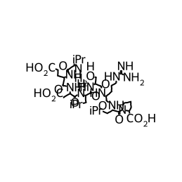 CC(C)CC(NC(=O)C(CC(=O)O)NC(=O)C(CCC(=O)O)NC(=O)C(N)C(C)C)C(=O)NC(CO)C(=O)NC(CCCNC(=N)N)C(=O)NC(CC(C)C)C(=O)N1CCCC1C(=O)O